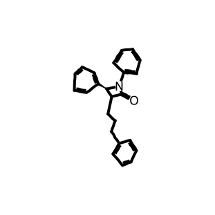 O=C1C(CCCc2ccccc2)[C@@H](c2ccccc2)N1c1ccccc1